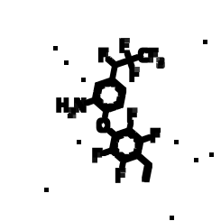 C=Cc1c(F)c(F)c(Oc2ccc(C(F)C(F)(F)C(F)(F)F)cc2N)c(F)c1F